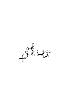 CC(C)(C)OC(=O)N[C@@H](CCc1nn[nH]n1)C(=O)O